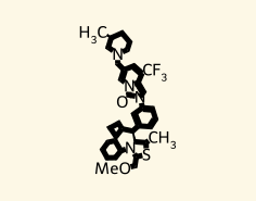 COCC1SC(C)C([C@H](c2cccc(-n3cc4c(C(F)(F)F)cc(CN5CCC[C@H](C)C5)cn4c3=O)c2)C2CCC2)N1C1CCCCC1